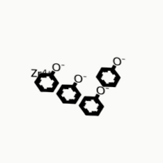 [O-]c1ccccc1.[O-]c1ccccc1.[O-]c1ccccc1.[O-]c1ccccc1.[Zr+4]